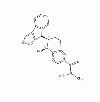 CN(C)C(=O)c1ccc2c(c1)CC[C@H](C1c3ccccc3-c3cncn31)[C@@H]2O